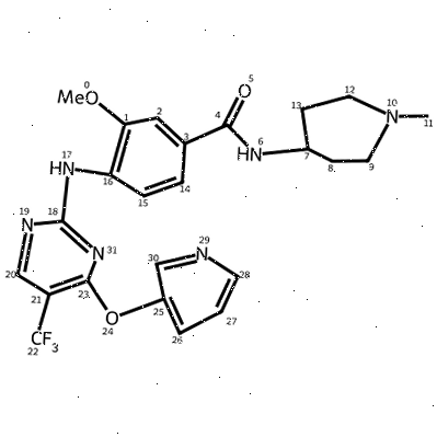 COc1cc(C(=O)NC2CCN(C)CC2)ccc1Nc1ncc(C(F)(F)F)c(Oc2cccnc2)n1